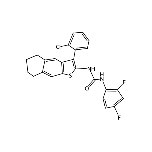 O=C(Nc1ccc(F)cc1F)Nc1sc2cc3c(cc2c1-c1ccccc1Cl)CCCC3